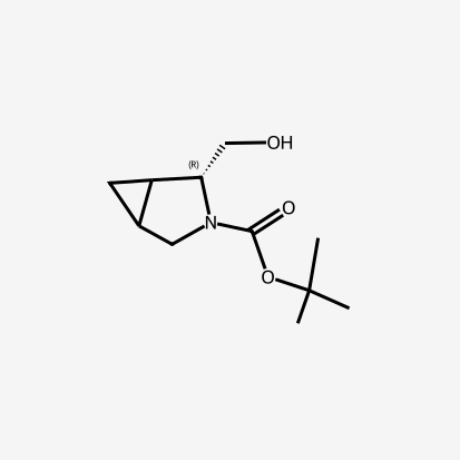 CC(C)(C)OC(=O)N1CC2CC2[C@@H]1CO